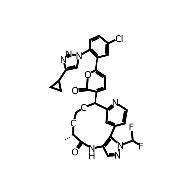 C[C@@H]1CCC[C@@H](c2ccc(-c3cc(Cl)ccc3-n3cc(C4CC4)nn3)oc2=O)c2cc(ccn2)-c2c(cnn2C(F)F)NC1=O